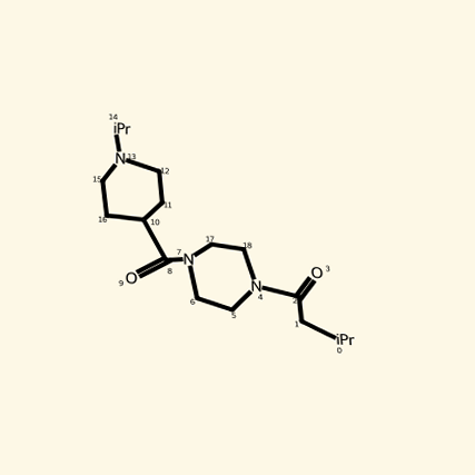 CC(C)CC(=O)N1CCN(C(=O)C2CCN(C(C)C)CC2)CC1